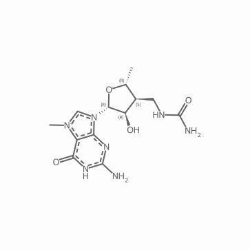 C[C@H]1O[C@@H](n2c[n+](C)c3c(=O)[nH]c(N)nc32)[C@H](O)[C@@H]1CNC(N)=O